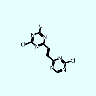 Clc1nc(Cl)nc([C]=Cc2ncnc(Cl)n2)n1